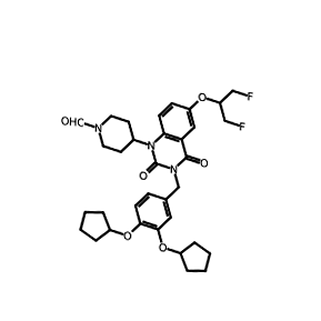 O=CN1CCC(n2c(=O)n(Cc3ccc(OC4CCCC4)c(OC4CCCC4)c3)c(=O)c3cc(OC(CF)CF)ccc32)CC1